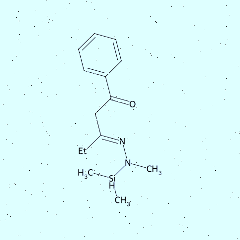 CCC(CC(=O)c1ccccc1)=NN(C)[SiH](C)C